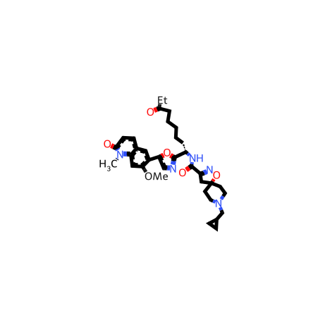 CCC(=O)CCCCC[C@H](NC(=O)C1=NOC2(CCN(CC3CC3)CC2)C1)c1ncc(-c2cc3ccc(=O)n(C)c3cc2OC)o1